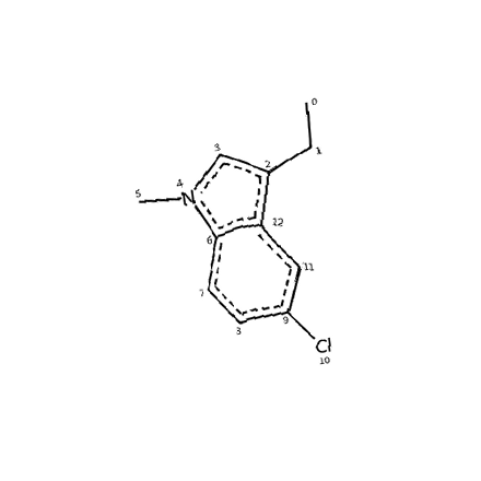 CCc1cn(C)c2ccc(Cl)cc12